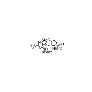 CCCCCNc1nc(N)nc2ccn(Cc3cc(P(=O)(O)O)ccc3OC)c12